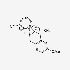 COc1ccc2c(c1)[C@]1(C)CCN(C)[C@H](C2)C1(Cl)c1cccc(C#N)c1